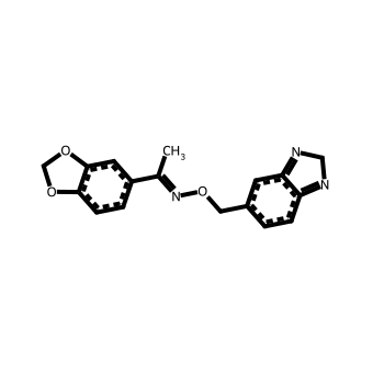 C/C(=N\OCc1ccc2c(c1)=NCN=2)c1ccc2c(c1)OCO2